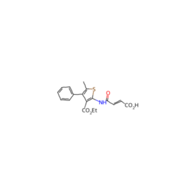 CCOC(=O)c1c(NC(=O)C=CC(=O)O)sc(C)c1-c1ccccc1